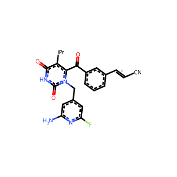 CC(C)c1c(C(=O)c2cccc(/C=C/C#N)c2)n(Cc2cc(N)nc(F)c2)c(=O)[nH]c1=O